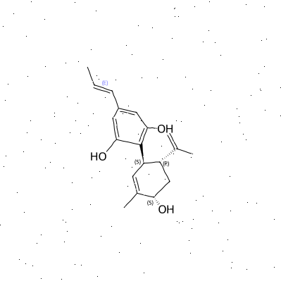 C=C(C)[C@@H]1C[C@H](O)C(C)=C[C@H]1c1c(O)cc(/C=C/C)cc1O